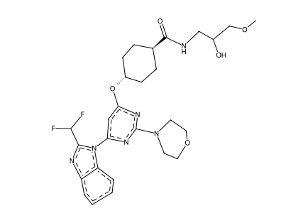 COCC(O)CNC(=O)[C@H]1CC[C@H](Oc2cc(-n3c(C(F)F)nc4ccccc43)nc(N3CCOCC3)n2)CC1